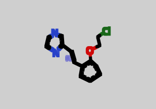 ClCCOc1ccccc1/C=C/c1cnccn1